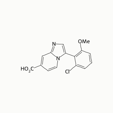 COc1cccc(Cl)c1-c1cnc2cc(C(=O)O)ccn12